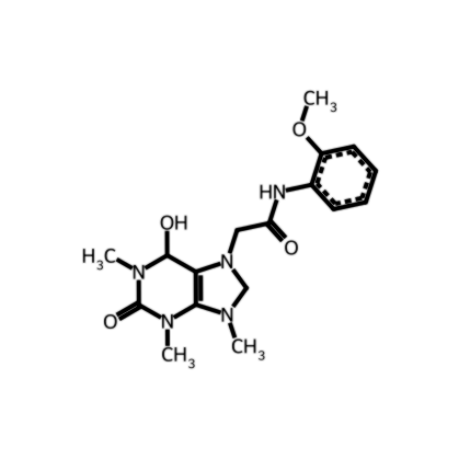 COc1ccccc1NC(=O)CN1CN(C)C2=C1C(O)N(C)C(=O)N2C